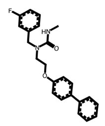 CNC(=O)N(CCOc1ccc(-c2ccccc2)cc1)Cc1cccc(F)c1